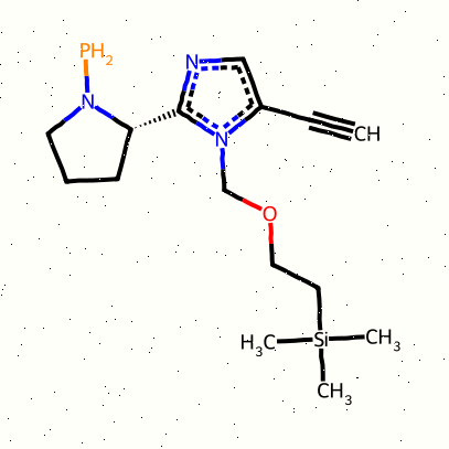 C#Cc1cnc([C@@H]2CCCN2P)n1COCC[Si](C)(C)C